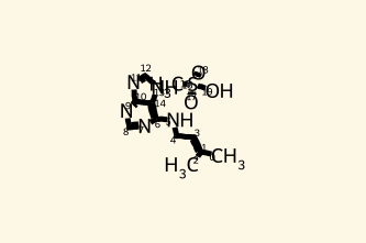 CC(C)=CCNc1ncnc2nc[nH]c12.CS(=O)(=O)O